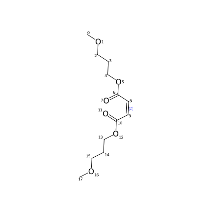 COCCCOC(=O)/C=C\C(=O)OCCCOC